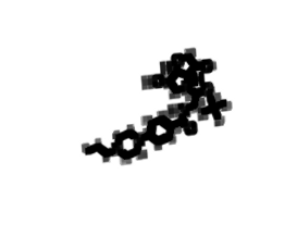 CCCN1CCN(c2ccc(C(=O)N[C@@H](CC(C)(C)C)C(=O)N3C[C@@H](O)[C@H]4OCC(=O)[C@H]43)cc2)CC1